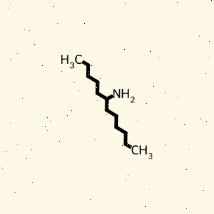 CCCCCCC(N)CCCCC